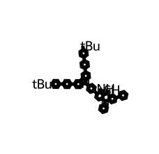 CC(C)(C)c1ccc(-c2ccc(-c3ccc4c(c3)c3cc(-c5ccc(-c6ccc(C(C)(C)C)cc6)cc5)ccc3n4-c3ccc(C4=CC=C(N(c5ccccc5)c5ccc(-c6ccccc6)cc5)/C(=N/S)C4=N)cc3)cc2)cc1